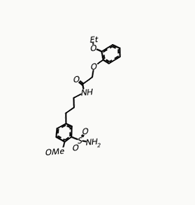 CCOc1ccccc1OCC(=O)NCCCc1ccc(OC)c(S(N)(=O)=O)c1